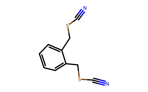 N#CSCc1ccccc1CSC#N